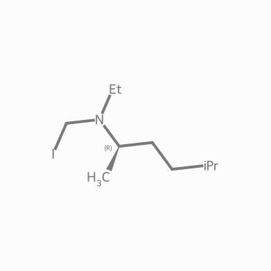 CCN(CI)[C@H](C)CCC(C)C